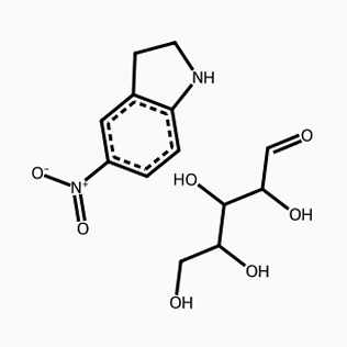 O=CC(O)C(O)C(O)CO.O=[N+]([O-])c1ccc2c(c1)CCN2